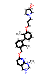 Cc1c(COc2ccc3c(n2)N(C)CNC3)cccc1-c1cccc(OCCCN2CC[C@@H](O)C2)c1C